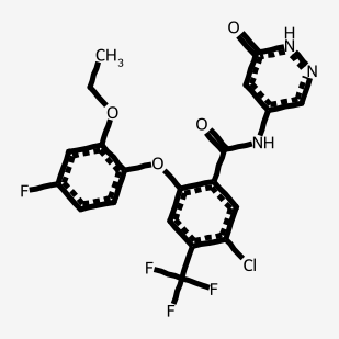 CCOc1cc(F)ccc1Oc1cc(C(F)(F)F)c(Cl)cc1C(=O)Nc1cn[nH]c(=O)c1